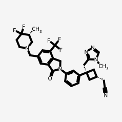 C[C@@H]1CN(Cc2cc3c(c(C(F)(F)F)c2)CN(c2cccc([C@]4(Cc5nncn5C)C[C@@H](CC#N)C4)c2)C3=O)CCC1(F)F